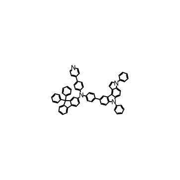 c1ccc(-n2ccc3c4c5cc(-c6ccc(N(c7ccc(-c8ccncc8)cc7)c7ccc8c(c7)C(c7ccccc7)(c7ccccc7)c7ccccc7-8)cc6)ccc5n(-c5ccccc5)c4ccc32)cc1